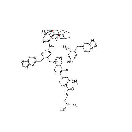 C=CC(=O)N1CC2CCC(C1)N2c1ccc2ncnc(Nc3ccc(Cc4ccn5ncnc5c4)c(C[n+]4cnc(Nc5ccc(Cc6ccn7ncnc7c6)c(C)c5)c5c(F)c(N6CCN(C(=O)/C=C/CN(C)C)C(C)C6)ccc54)c3)c2n1